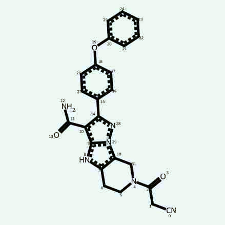 N#CCC(=O)N1CCc2[nH]c3c(C(N)=O)c(-c4ccc(Oc5ccccc5)cc4)nn3c2C1